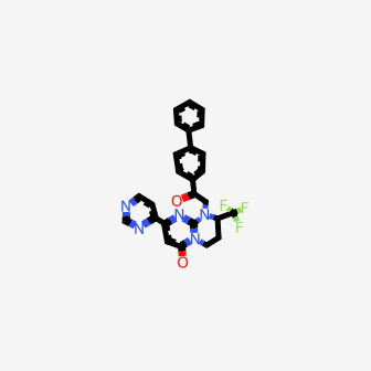 O=C(CN1c2nc(-c3ccncn3)cc(=O)n2CCC1C(F)(F)F)c1ccc(-c2ccccc2)cc1